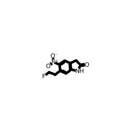 O=C1Cc2cc([N+](=O)[O-])c(CCF)cc2N1